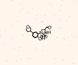 O=CC1CN(c2cc(C3CCOC3)ccc2O)S(=O)(=O)N1